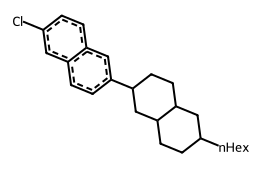 CCCCCCC1CCC2CC(c3ccc4cc(Cl)ccc4c3)CCC2C1